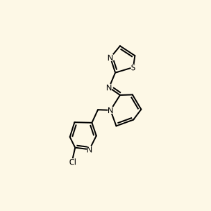 Clc1ccc(Cn2ccccc2=Nc2nccs2)cn1